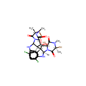 CN1C(=O)[C@@]2(S)[C@@H](O)[C@]3([C@@]45c6cc(F)ccc6NC4N4C(=O)[C@]6(C)SS[C@]4(C(=O)N6C)[C@H]5O)c4cc(F)ccc4N[C@@H]3N2C(=O)[C@]1(C)S